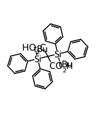 CC(C)(C)[Si](c1ccccc1)(c1ccccc1)C(C(=O)O)(C(=O)O)[Si](c1ccccc1)(c1ccccc1)C(C)(C)C